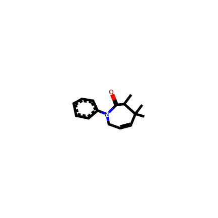 CC1C(=O)N(c2ccccc2)CC=CC1(C)C